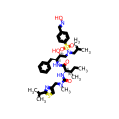 CC[C@H](C)[C@H](NC(=O)N(C)Cc1csc(C(C)C)n1)C(=O)N[C@@H](Cc1ccccc1)[C@H](O)CN(CC(C)C)S(=O)(=O)c1ccc(C=NO)cc1